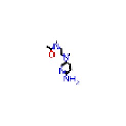 CC(=O)N(C)CCN(C)c1ccc(N)nc1